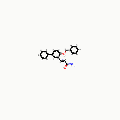 NC(=O)/C=C/c1cc(-c2ccccc2)ccc1OCc1ccccc1